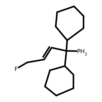 FCC=CC(P)(C1CCCCC1)C1CCCCC1